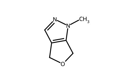 Cn1ncc2c1COC2